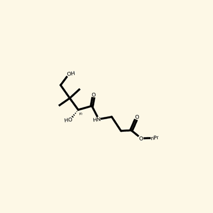 [CH2]CCOC(=O)CCNC(=O)[C@H](O)C(C)(C)CO